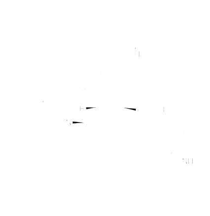 CCN(CC1CCC1)[C@@H]1Cc2ccc(C(N)=O)c(O)c2[C@@]2(C)C[C@@H](O)CC[C@@H]12